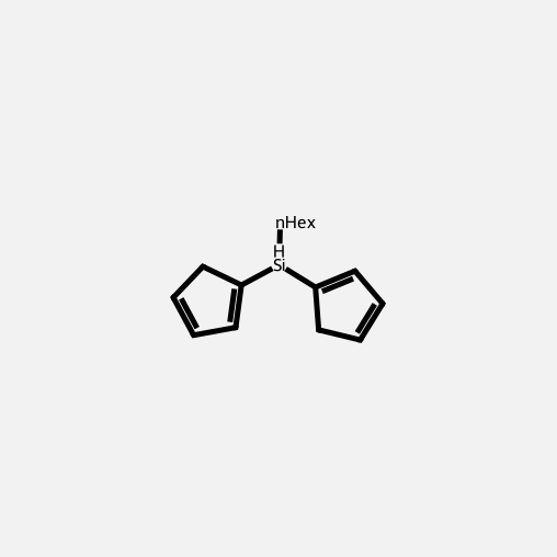 CCCCCC[SiH](C1=CC=CC1)C1=CC=CC1